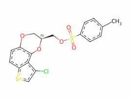 Cc1ccc(S(=O)(=O)OC[C@@H]2COc3ccc4scc(Cl)c4c3O2)cc1